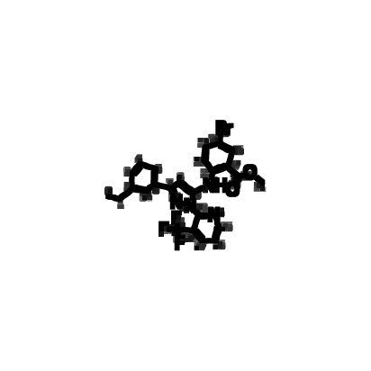 CCc1cccc(-c2cc(Nc3ccc(Br)cc3C(=O)OC)n(-c3ncccc3C(F)(F)F)n2)c1